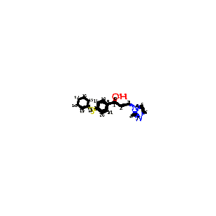 OC(CCn1ccnc1)c1ccc(SC2CCCCC2)cc1